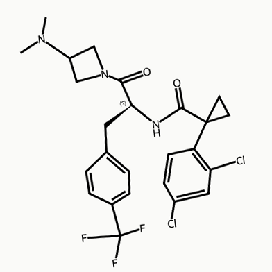 CN(C)C1CN(C(=O)[C@H](Cc2ccc(C(F)(F)F)cc2)NC(=O)C2(c3ccc(Cl)cc3Cl)CC2)C1